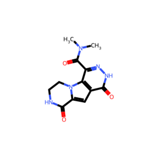 CN(C)C(=O)c1n[nH]c(=O)c2cc3n(c12)CCNC3=O